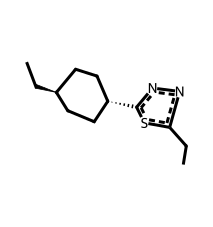 CCc1nnc([C@H]2CC[C@H](CC)CC2)s1